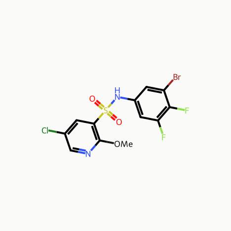 COc1ncc(Cl)cc1S(=O)(=O)Nc1cc(F)c(F)c(Br)c1